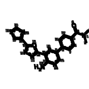 CN(C)C(=O)c1ccc(-c2bc(-c3nnc(-c4cscn4)o3)c(N)nc2)cc1